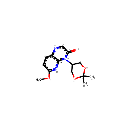 COc1ccc2ncc(=O)n(C3COC(C)(C)OC3)c2n1